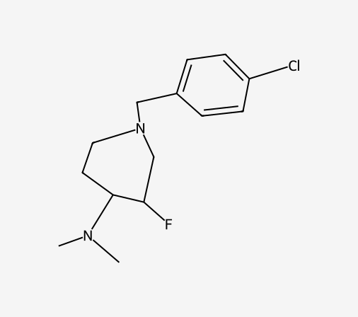 CN(C)C1CCN(Cc2ccc(Cl)cc2)CC1F